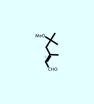 COC(C)(C)C/C(C)=C/C=O